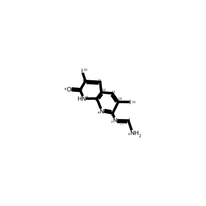 N/C=N/c1nc2[nH]c(=O)c(I)cc2cc1I